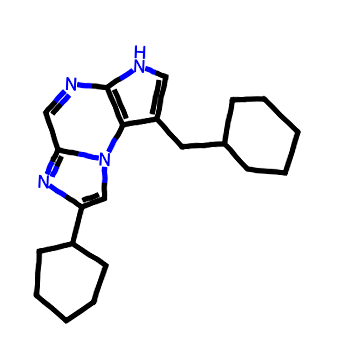 c1[nH]c2ncc3nc(C4CCCCC4)cn3c2c1CC1CCCCC1